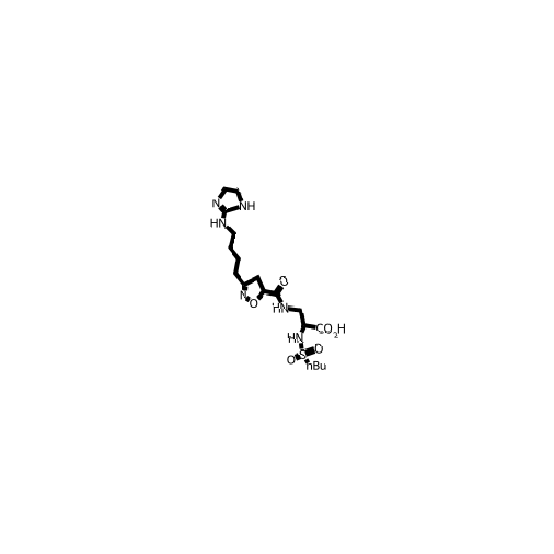 CCCCS(=O)(=O)NC(CNC(=O)C1CC(CCCCNC2=NCCN2)=NO1)C(=O)O